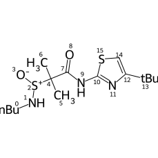 CCCCN[S+]([O-])C(C)(C)C(=O)Nc1nc(C(C)(C)C)cs1